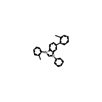 Cc1ccccc1-c1ccc2c(c1)n(-c1ccccc1)c[n+]2-c1ccccc1C